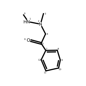 CNN(C)CC(=O)c1ccccc1